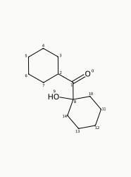 O=C(C1CCCCC1)C1(O)CCCCC1